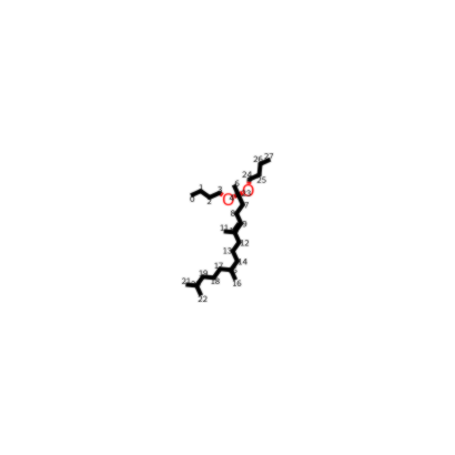 CCCCOC(C)(CC/C=C(\C)CCCC(C)CCCC(C)C)OCCCC